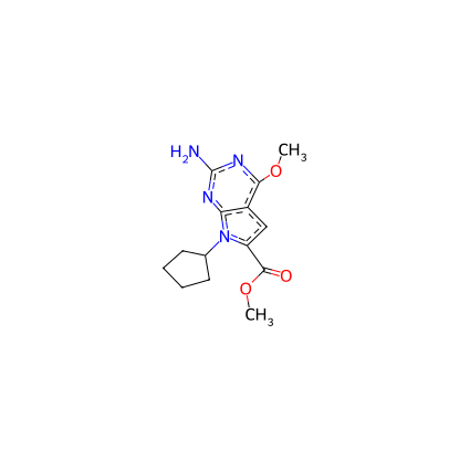 COC(=O)c1cc2c(OC)nc(N)nc2n1C1CCCC1